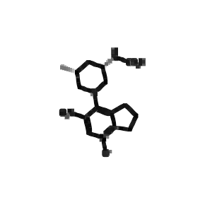 C[C@@H]1C[C@H](NC(=O)O)CN(c2c([N+](=O)[O-])c[n+]([O-])c3c2CCC3)C1